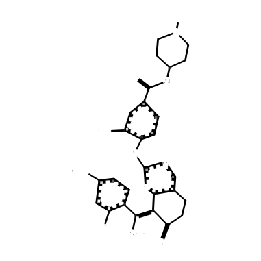 CN/C(=C1\C(=N)CCc2cnc(Nc3ccc(C(=O)NC4CCN(C)CC4)cc3OC)nc21)c1ccc(OC)cc1Cl